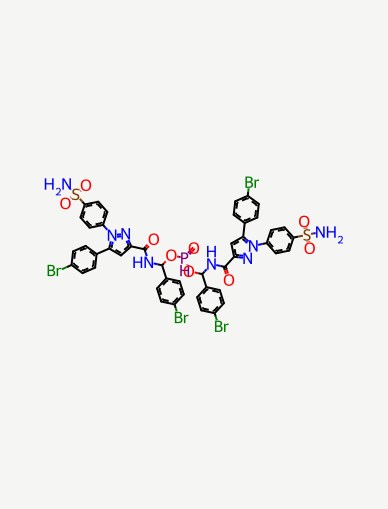 NS(=O)(=O)c1ccc(-n2nc(C(=O)NC(O[PH](=O)OC(NC(=O)c3cc(-c4ccc(Br)cc4)n(-c4ccc(S(N)(=O)=O)cc4)n3)c3ccc(Br)cc3)c3ccc(Br)cc3)cc2-c2ccc(Br)cc2)cc1